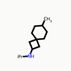 CC1CCC2(CC1)CC(NC(C)C)C2